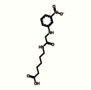 O=C(O)CCCCCNC(=O)CNc1cccc([N+](=O)[O-])c1